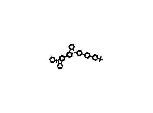 CC(C)(C)c1ccc(-c2ccc(-c3ccc(-n4c5ccccc5c5cc(-c6ccc7c(c6)c6ccccc6n7-c6ccccc6)ccc54)cc3)cc2)cc1